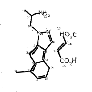 CC1=C2C=c3c(cnn3CC(C)N)=C2CC=C1.O=C(O)/C=C/C(=O)O